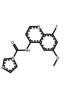 COc1cc(F)c2nccc(NC(=O)n3ccnc3)c2c1